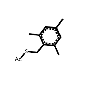 CC(=O)SCc1c(C)cc(C)cc1C